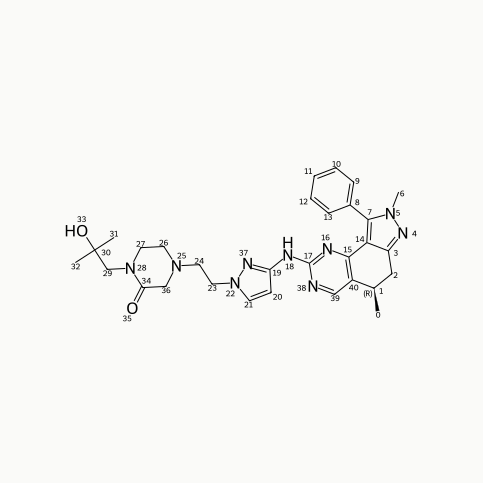 C[C@@H]1Cc2nn(C)c(-c3ccccc3)c2-c2nc(Nc3ccn(CCN4CCN(CC(C)(C)O)C(=O)C4)n3)ncc21